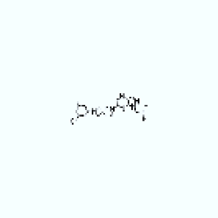 FC(F)Cn1ncc2ncc(N3CCC4(CN(c5cncc(Cl)c5)C4)C3)nc21